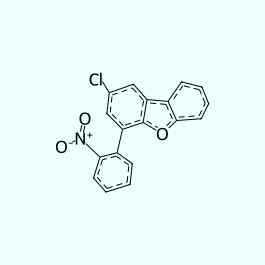 O=[N+]([O-])c1ccccc1-c1cc(Cl)cc2c1oc1ccccc12